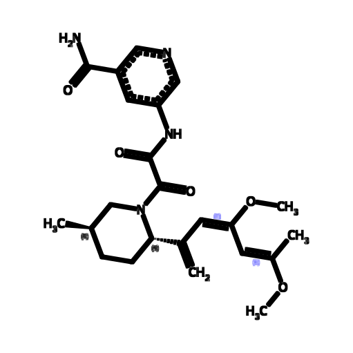 C=C(/C=C(\C=C(/C)OC)OC)[C@@H]1CC[C@@H](C)CN1C(=O)C(=O)Nc1cncc(C(N)=O)c1